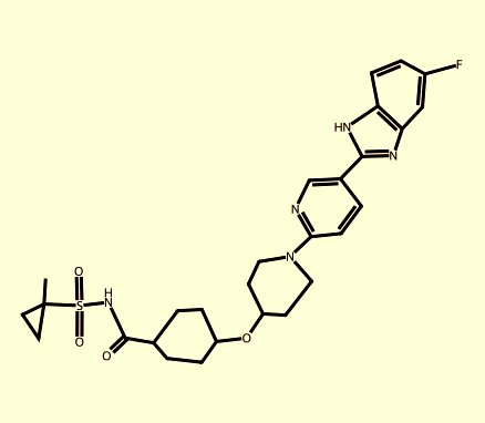 CC1(S(=O)(=O)NC(=O)C2CCC(OC3CCN(c4ccc(-c5nc6cc(F)ccc6[nH]5)cn4)CC3)CC2)CC1